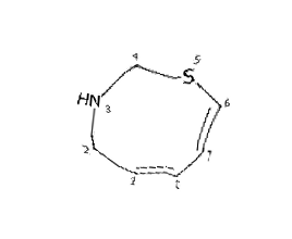 C1=CCNCSC=C1